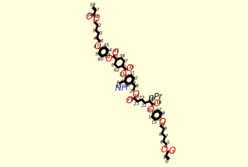 C=CC(=O)OCCCCCCOc1ccc(OC(=O)C(CCC)CCCC(=O)OCCc2ccc(OC(=O)C3CCC(C(=O)Oc4ccc(OCCCCCCOC(=O)C=C)cc4)CC3)c(C=N)c2)cc1